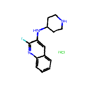 Cl.Fc1nc2ccccc2cc1NC1CCNCC1